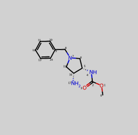 COC(=O)N[C@H]1CN(Cc2ccccc2)C[C@H]1N